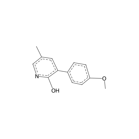 COc1ccc(-c2cc(C)cnc2O)cc1